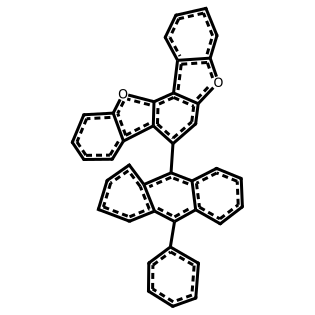 c1ccc(-c2c3ccccc3c(-c3cc4oc5ccccc5c4c4oc5ccccc5c34)c3ccccc23)cc1